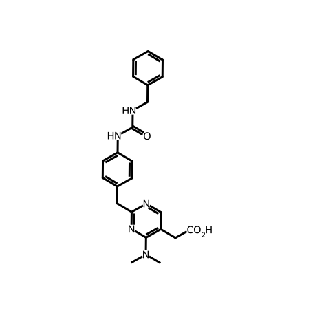 CN(C)c1nc(Cc2ccc(NC(=O)NCc3ccccc3)cc2)ncc1CC(=O)O